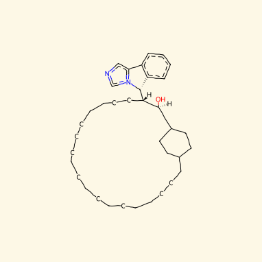 O[C@H]1C2CCC(CCCCCCCCCCCCCCCCCC[C@@H]1[C@H]1c3ccccc3-c3cncn31)CC2